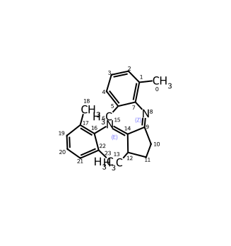 Cc1cccc(C)c1/N=C1/CCC(C)/C1=N\c1c(C)cccc1C